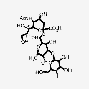 CC(=O)NC1C(O)CC(OCC2OC(C)C(N)C(OC3OC(CO)C(I)C(O)C3O)C2O)(C(=O)O)OC1[C@H](O)[C@H](O)CO